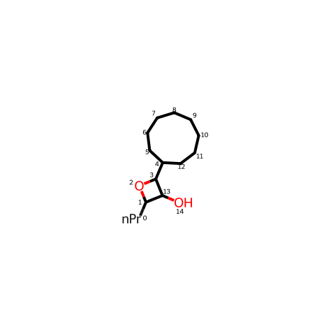 CCCC1OC(C2CCCCCCCC2)C1O